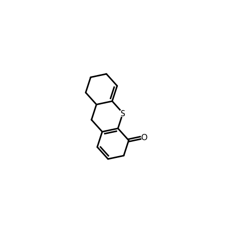 O=C1CC=CC2=C1SC1=CCCCC1C2